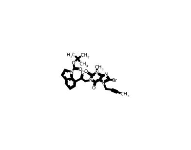 CC#CCn1c(Br)nc2c1c(=O)n(CC(=O)c1cccc3ccn(C(=O)OC(C)(C)C)c13)c(=O)n2C